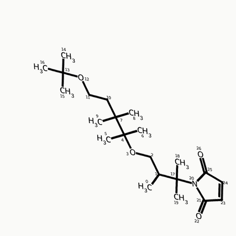 CC(COC(C)(C)C(C)(C)CCOC(C)(C)C)C(C)(C)N1C(=O)C=CC1=O